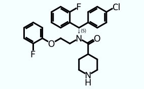 O=C(C1CCNCC1)N(CCOc1ccccc1F)[C@@H](c1ccc(Cl)cc1)c1ccccc1F